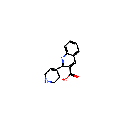 O=C(O)c1cc2ccccc2nc1C1=CCNCC1